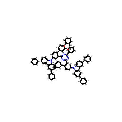 N#Cc1cccc(-c2ccc(-n3c4ccc(-c5ccccc5)cc4c4cc(-c5ccccc5)ccc43)cc2-c2nc(-c3cccc(-c4ccccc4C#N)c3)nc(-c3cc(-n4c5ccc(-c6ccccc6)cc5c5cc(-c6ccccc6)ccc54)ccc3-c3cccc(C#N)c3)n2)c1